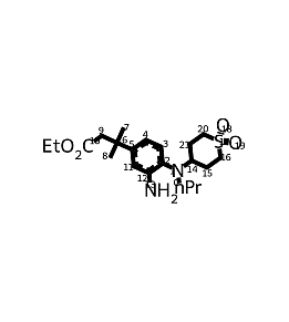 CCCN(c1ccc(C(C)(C)CC(=O)OCC)cc1N)C1CCS(=O)(=O)CC1